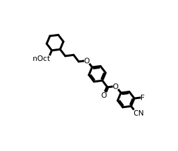 CCCCCCCCC1CCCCC1CCCOc1ccc(C(=O)Oc2ccc(C#N)c(F)c2)cc1